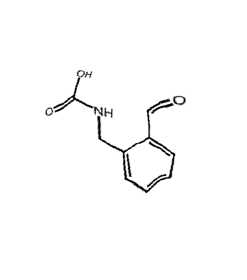 O=Cc1ccccc1CNC(=O)O